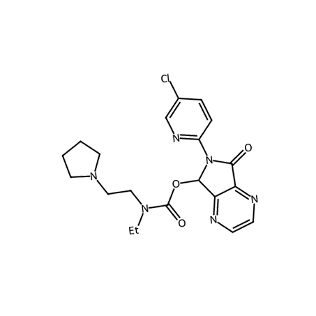 CCN(CCN1CCCC1)C(=O)OC1c2nccnc2C(=O)N1c1ccc(Cl)cn1